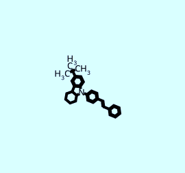 CC(C)(C)c1ccc2c(c1)C1CCCCC1N2c1ccc(/C=C/c2ccccc2)cc1